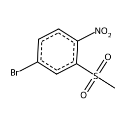 CS(=O)(=O)c1cc(Br)ccc1[N+](=O)[O-]